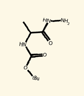 CC(NC(=O)OC(C)(C)C)C(=O)NN